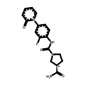 NC(=O)[C@@H]1CCN(C(=O)Nc2ccc(-n3ccccc3=O)cc2F)C1